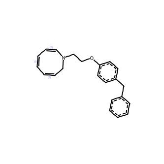 C1=C\C=C/N(CCOc2ccc(Cc3ccccc3)cc2)C\C=C/1